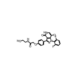 O=C(COc1ccc(-c2nn(-c3c(F)cccc3F)c3c(Cl)c[nH]c(=O)c23)cc1)NCCO